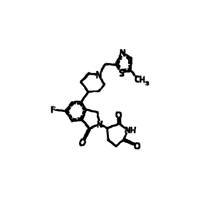 Cc1cnc(CN2CCC(c3cc(F)cc4c3CN(C3CCC(=O)NC3=O)C4=O)CC2)s1